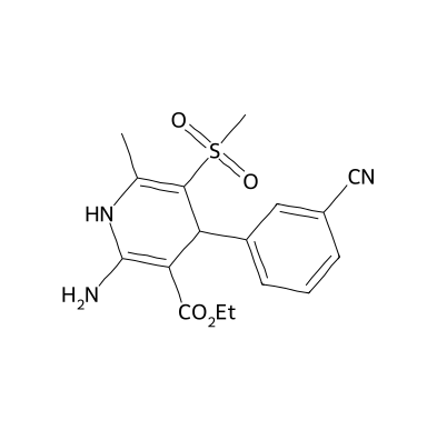 CCOC(=O)C1=C(N)NC(C)=C(S(C)(=O)=O)C1c1cccc(C#N)c1